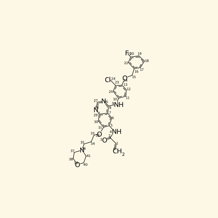 C=CC(=O)Nc1cc2c(Nc3ccc(OCc4cccc(F)c4)c(Cl)c3)ncnc2cc1OCCCN1CCOCC1